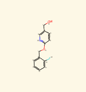 OCc1ccc(OCc2ccccc2F)nc1